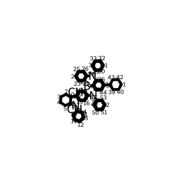 CC12CCCCC1(C)N(c1ccccc1)c1cc3c(cc12)B1c2ccccc2N(c2ccccc2)c2cc(C4CCCCC4)cc(c21)N3c1ccccc1